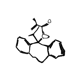 C=C(C)C(=O)OC1(C(C)C)c2ccccc2CCc2ccccc21